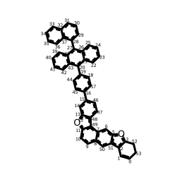 C1=Cc2c(oc3cc4c(ccc5oc6cc(-c7ccc(-c8c9ccccc9c(-c9cccc%10ccccc9%10)c9ccccc89)cc7)ccc6c54)cc23)CC1